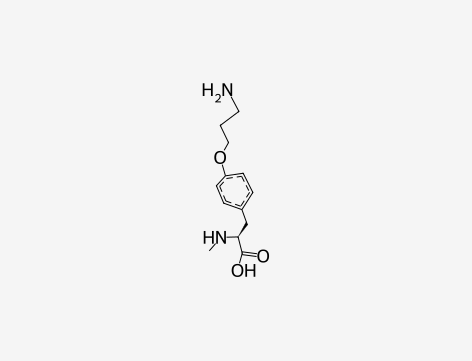 CN[C@@H](Cc1ccc(OCCCN)cc1)C(=O)O